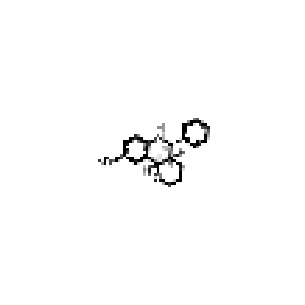 CCCc1ccc2c(c1)[C@H]1OCCC[C@H]1[C@H](c1ccccc1)N2